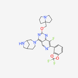 Fc1c(-c2cccc3c2OC(F)(F)O3)ncc2c(N3CCC4CNC(C4)C3)nc(OCC34CCCN3CCC4)nc12